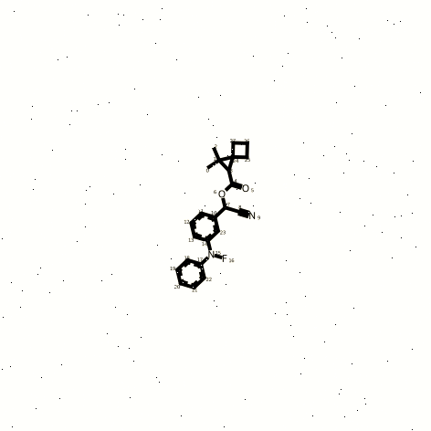 CC1(C)C(C(=O)OC(C#N)c2cccc(N(F)c3ccccc3)c2)C12CCC2